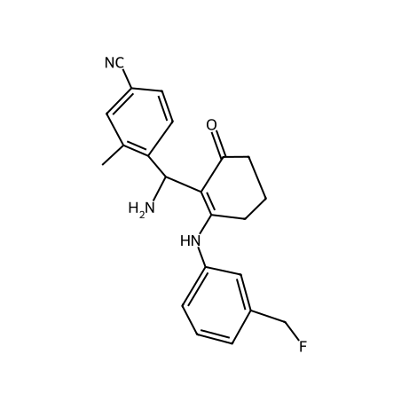 Cc1cc(C#N)ccc1C(N)C1=C(Nc2cccc(CF)c2)CCCC1=O